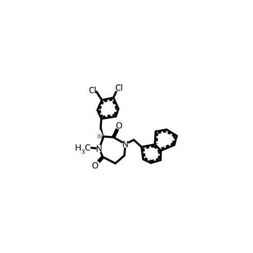 CN1C(=O)CCN(Cc2cccc3ccccc23)C(=O)[C@@H]1Cc1ccc(Cl)c(Cl)c1